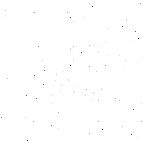 Cc1cccc(C(C)Oc2ccc3ccn(CCNC(C)(CO)CO)c3c2)c1